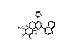 C[C@H]1C(=O)C(C#N)=C[C@@]2(C)c3nc(-c4ccnc5ccccc45)nc(-c4nccs4)c3CC[C@H]12